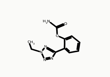 CCn1nnc(-c2ccccc2OC(N)=O)n1